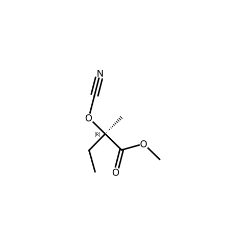 CC[C@@](C)(OC#N)C(=O)OC